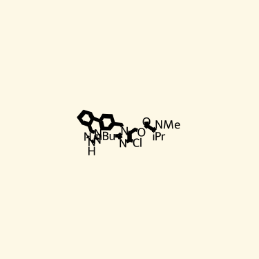 CCCCc1nc(Cl)c(COC(=O)C(NC)C(C)C)n1Cc1ccc(-c2ccccc2-c2nn[nH]n2)cc1